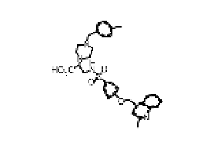 Cc1ccc(CN2CCN(C(CNS(=O)(=O)c3ccc(OCc4cc(C)nc5ccccc45)cc3)C(=O)O)CC2)cc1